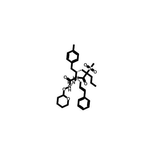 CCCC(C[C@@H](Cc1ccc(C)cc1)[C@H](C/C=C/c1ccccc1)C(=O)NOC1CCCCO1)(C(=O)NN)S(C)(=O)=O